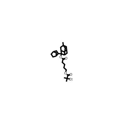 CCC(C)(C)C(=O)OCCCCC(=O)OC1(C2CC3CCC2C3)C2CC3CC1CC(C)(C3)C2